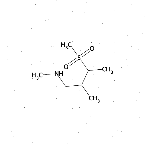 CNCC(C)C(C)S(C)(=O)=O